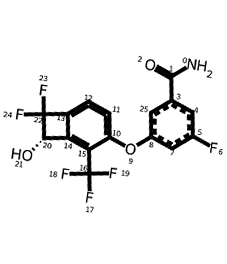 NC(=O)c1cc(F)cc(OC2=C=C=C3C(=C2C(F)(F)F)[C@H](O)C3(F)F)c1